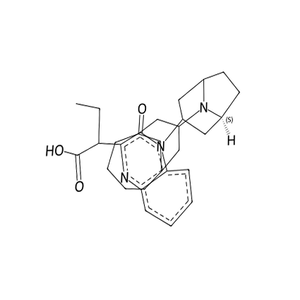 CCC(C(=O)O)c1nc2ccccc2n(C2CC3CC[C@@H](C2)N3C2CC3CCCCC(C3)C2)c1=O